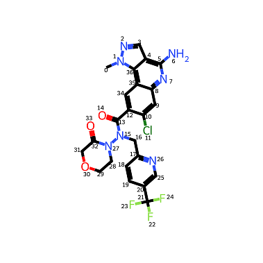 Cn1ncc2c(N)nc3cc(Cl)c(C(=O)N(Cc4ccc(C(F)(F)F)cn4)N4CCOCC4=O)cc3c21